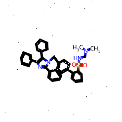 CN(C)CNS(=O)(=O)c1ccccc1-c1ccc(Cn2c(-c3ccccc3)nc(-c3ccccc3)c2-c2ccccc2)cc1